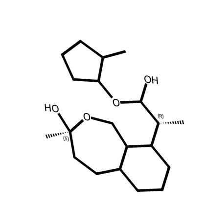 CC1CCCC1OC(O)[C@H](C)C1CCCC2CC[C@@](C)(O)OCC21